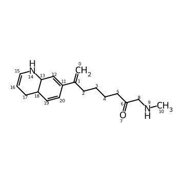 C=C(CCCCC(=O)CNC)C1=CC2NC=CCC2C=C1